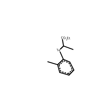 CCOC(=O)C(C)[Te]c1ccccc1C